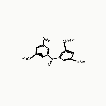 COc1cc(OC)cc([P](=O)c2cc(OC)cc(OC)c2)c1